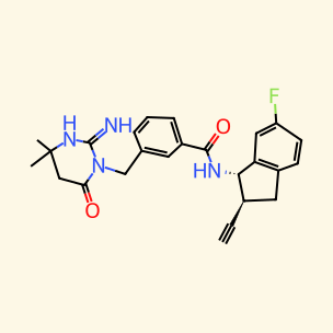 C#C[C@@H]1Cc2ccc(F)cc2[C@H]1NC(=O)c1cccc(CN2C(=N)NC(C)(C)CC2=O)c1